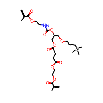 C=C(C)C(=O)OCCNC(=O)OC(COCCC[Si](C)(C)C)COC(=O)CCC(=O)OCCOC(=O)C(=C)C